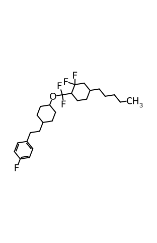 CCCCCC1CCC(C(F)(F)OC2CCC(CCc3ccc(F)cc3)CC2)C(F)(F)C1